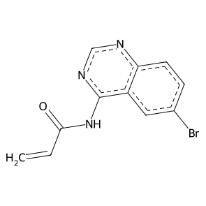 C=CC(=O)Nc1ncnc2ccc(Br)cc12